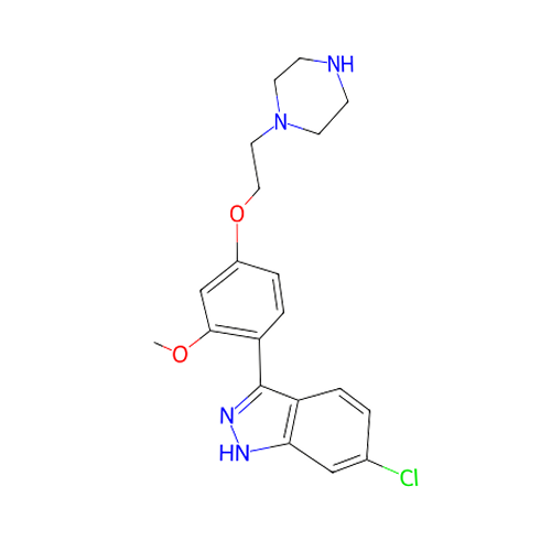 COc1cc(OCCN2CCNCC2)ccc1-c1n[nH]c2cc(Cl)ccc12